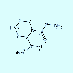 CCCCCC(CC)C1CNCCN1C(=O)CN